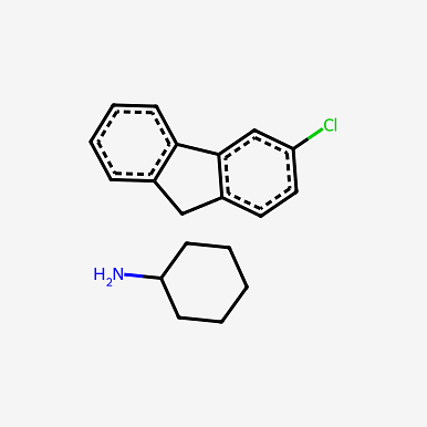 Clc1ccc2c(c1)-c1ccccc1C2.NC1CCCCC1